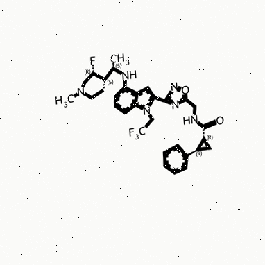 C[C@H](Nc1cccc2c1cc(-c1noc(CNC(=O)[C@@H]3C[C@H]3c3ccccc3)n1)n2CC(F)(F)F)[C@@H]1CCN(C)C[C@@H]1F